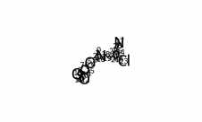 C[C@@H]1C[C@@H](COc2ccc(S(C)(=O)=O)cc2)CN1CCc1cc(Cl)cc(C#N)c1